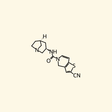 N#Cc1cc2c(s1)C=CN(C(=O)N[C@@H]1C[C@@H]3CCN(C3)C1)C2